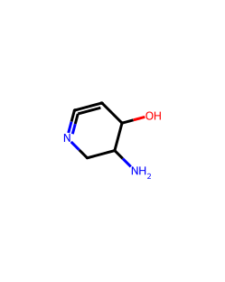 NC1CN=C=CC1O